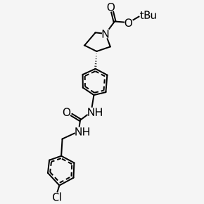 CC(C)(C)OC(=O)N1CC[C@@H](c2ccc(NC(=O)NCc3ccc(Cl)cc3)cc2)C1